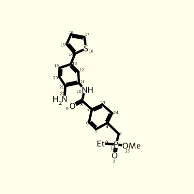 CCP(=O)(Cc1ccc(C(=O)Nc2cc(-c3cccs3)ccc2N)cc1)OC